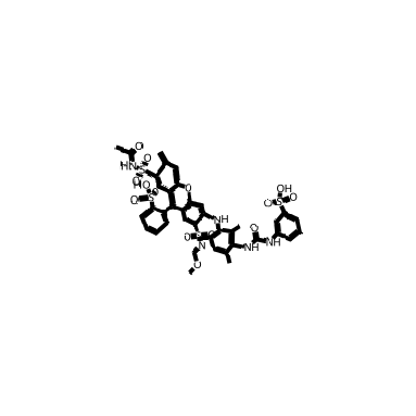 C=c1cc2c(cc1S(=O)(=O)NC(C)=O)=C(c1ccccc1S(=O)(=O)O)c1cc(S(=O)(=O)N=COC)c(Nc3c(C)cc(C)c(NC(=O)Nc4cccc(S(=O)(=O)O)c4)c3C)cc1O2